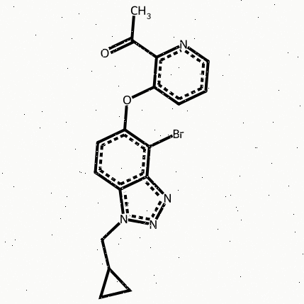 CC(=O)c1ncccc1Oc1ccc2c(nnn2CC2CC2)c1Br